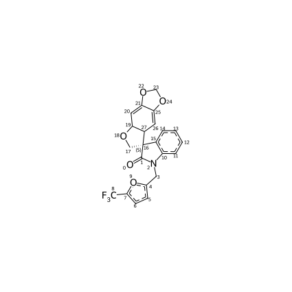 O=C1N(Cc2ccc(C(F)(F)F)o2)c2ccccc2[C@@]12COC1C=C3OCOC3=CC12